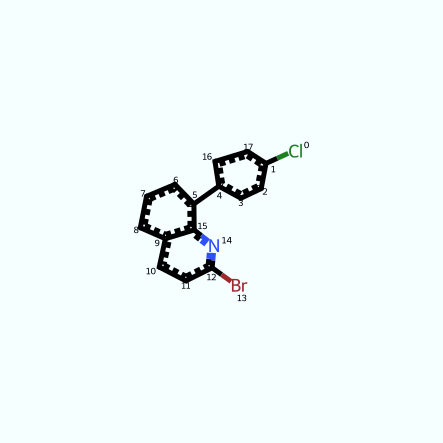 Clc1ccc(-c2cccc3ccc(Br)nc23)cc1